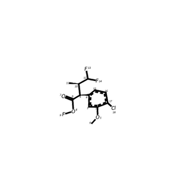 COc1cc([C@@H](C(=O)OF)[C@@H](C)C(F)F)ccc1Cl